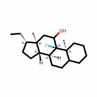 CC[C@H]1CC[C@H]2[C@@H]3CCC4CCCC[C@]4(C)[C@@]3(F)C(O)C[C@]12C